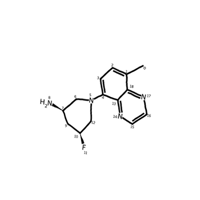 Cc1ccc(N2C[C@H](N)C[C@H](F)C2)c2nccnc12